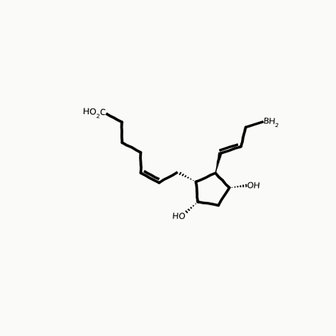 BC/C=C/[C@@H]1[C@@H](C/C=C\CCCC(=O)O)[C@@H](O)C[C@H]1O